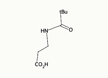 CC(C)(C)C(=O)NCCC(=O)O